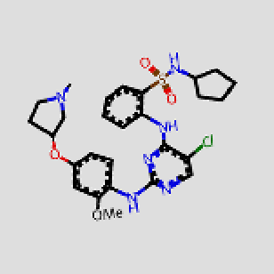 COc1cc(O[C@H]2CCN(C)C2)ccc1Nc1ncc(Cl)c(Nc2ccccc2S(=O)(=O)NC2CCCC2)n1